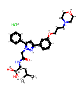 CC(C)C[C@H](NC(=O)Cn1nc(-c2cccc(OCCCN3CCOCC3)c2)cc1-c1ccccc1)B(O)O.Cl